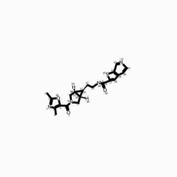 Cc1nc(C)c(C(=O)N2C[C@@H]3[C@@H](CCNC(=O)c4cc5ccncc5s4)[C@@H]3C2)o1